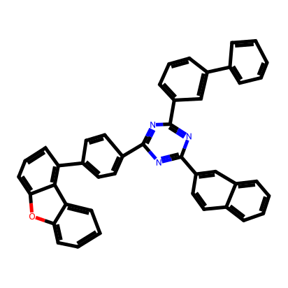 c1ccc(-c2cccc(-c3nc(-c4ccc(-c5cccc6oc7ccccc7c56)cc4)nc(-c4ccc5ccccc5c4)n3)c2)cc1